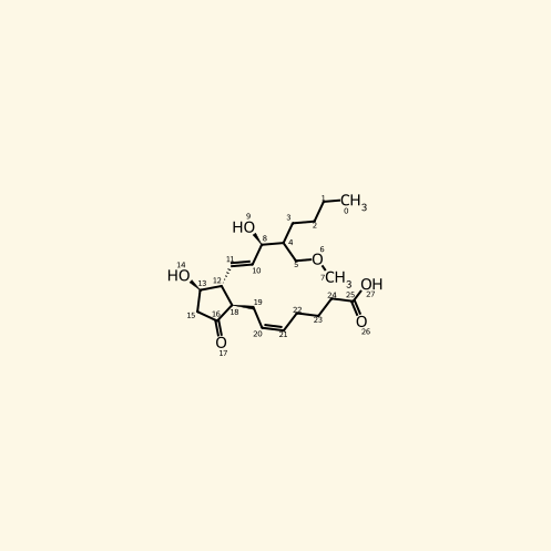 CCCCC(COC)[C@H](O)/C=C/[C@H]1[C@H](O)CC(=O)[C@@H]1C/C=C\CCCC(=O)O